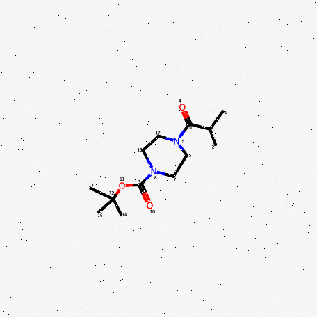 CC(C)C(=O)N1CCN(C(=O)OC(C)(C)C)CC1